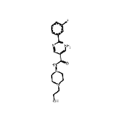 C=C(/N=C\C(=C/N)C(=O)NN1CCN(CCO)CC1)c1cccc(F)c1